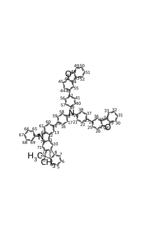 CC1(C)c2ccccc2-c2cc3c4cc(-c5ccc(N(c6ccc(-c7ccc8oc9ccccc9c8c7)cc6)c6ccc(-c7ccc8oc9ccccc9c8c7)cc6)cc5)ccc4n(-c4ccccc4)c3cc21